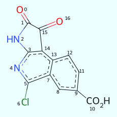 O=C1Nc2nc(Cl)c3cc(C(=O)O)ccc3c2C1=O